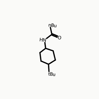 CCCCC(=O)NC1CCC(C(C)(C)C)CC1